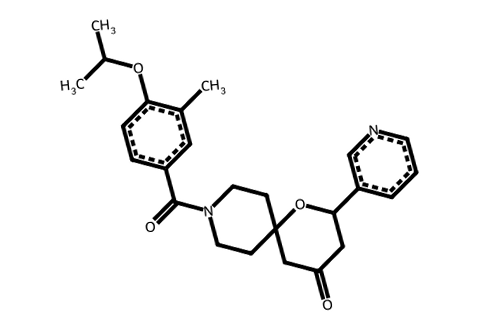 Cc1cc(C(=O)N2CCC3(CC2)CC(=O)CC(c2cccnc2)O3)ccc1OC(C)C